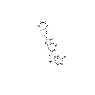 O=C(CC1SC(NCC2CCCCC2)=NC1=O)N[C@@H]1C[C@@H]2CC[C@@H]1C2